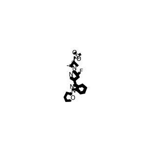 C[C@@H]1[C@@H](CS(C)(=O)=O)CN1c1ncc(-c2nn(C3CCCCO3)c3ccccc23)cc1F